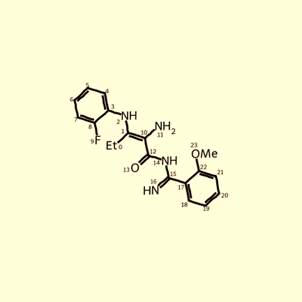 CC/C(Nc1ccccc1F)=C(/N)C(=O)NC(=N)c1ccccc1OC